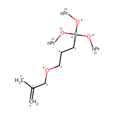 C=C(C)COCCC[Si](OCCC)(OCCC)OCCC